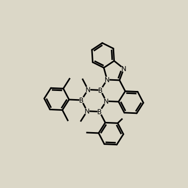 Cc1cccc(C)c1B1N(C)B(c2c(C)cccc2C)N2B(N1C)n1c(nc3ccccc31)-c1ccccc12